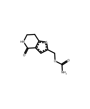 NC(=O)OCc1cc2c(s1)CCNC2=O